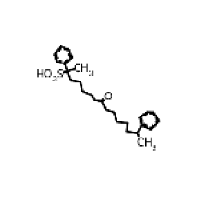 CC(CCCCCC(=O)CCCCCC(C)(c1ccccc1)S(=O)(=O)O)c1ccccc1